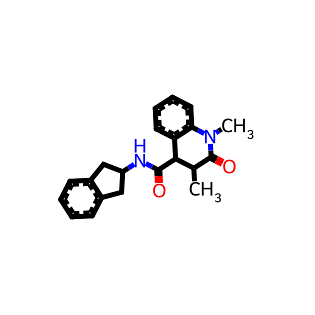 CC1C(=O)N(C)c2ccccc2C1C(=O)NC1Cc2ccccc2C1